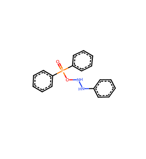 O=P(ONNc1ccccc1)(c1ccccc1)c1ccccc1